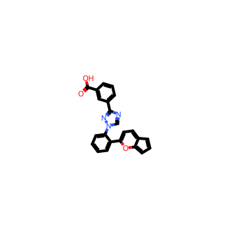 O=C(O)c1cccc(-c2ncn(-c3ccccc3-c3ccc4cccc-4o3)n2)c1